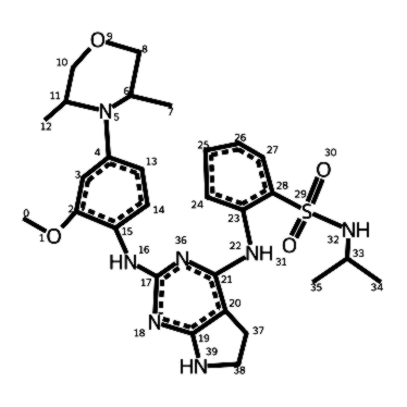 COc1cc(N2C(C)COCC2C)ccc1Nc1nc2c(c(Nc3ccccc3S(=O)(=O)NC(C)C)n1)CCN2